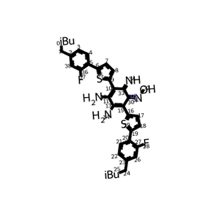 CCC(C)Cc1ccc(-c2ccc(C3=C(N)C(N)=C(c4ccc(-c5ccc(CC(C)CC)cc5F)s4)/C(=N/O)C3=N)s2)c(F)c1